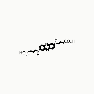 O=C(O)CCCNc1ccc2nc3cc(NCCCC(=O)O)ccc3nc2c1